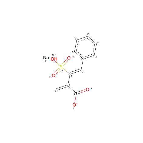 C=C(C(=O)[O-])C(=Cc1ccccc1)S(=O)(=O)O.[Na+]